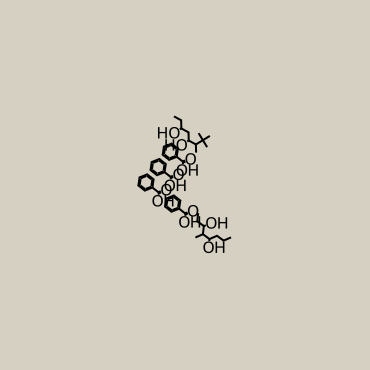 CCC(O)CC(O)C(C)C(C)(C)C.CCCC(O)C(C)C(O)CC.O=C(O)c1ccccc1.O=C(O)c1ccccc1.O=C(O)c1ccccc1.O=C(O)c1ccccc1